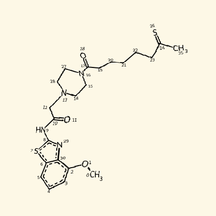 COc1cccc2sc(NC(=O)CN3CCN(C(=O)CCCCCC(C)=S)CC3)nc12